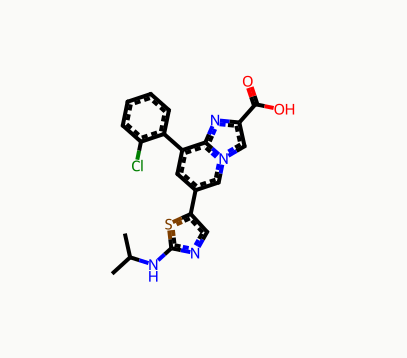 CC(C)Nc1ncc(-c2cc(-c3ccccc3Cl)c3nc(C(=O)O)cn3c2)s1